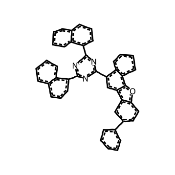 c1ccc(-c2ccc3oc4c5ccccc5c(-c5nc(-c6cccc7ccccc67)nc(-c6cccc7ccccc67)n5)cc4c3c2)cc1